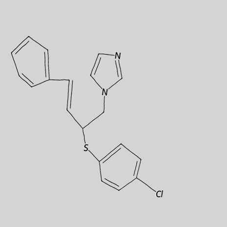 Clc1ccc(SC(C=Cc2ccccc2)Cn2ccnc2)cc1